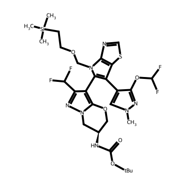 Cn1cc(-c2c(-c3c(C(F)F)nn4c3OC[C@@H](NC(=O)OC(C)(C)C)C4)n(COCC[Si](C)(C)C)c3ncsc23)c(OC(F)F)n1